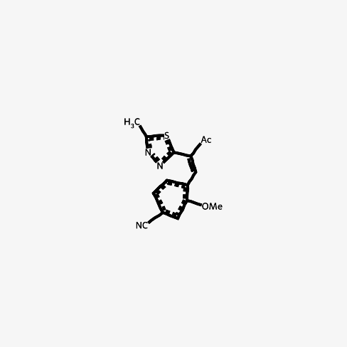 COc1cc(C#N)ccc1C=C(C(C)=O)c1nnc(C)s1